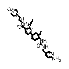 CCNc1nc(-c2ccc(NC(=O)NCc3ccc(N)nc3)c(F)c2)ccc1C(=O)NCCN1CC[S+]([O-])CC1